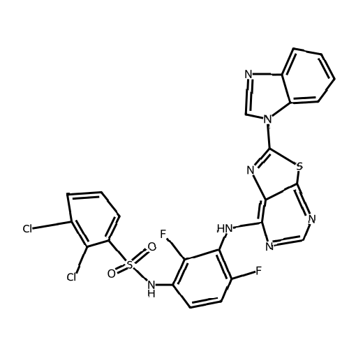 O=S(=O)(Nc1ccc(F)c(Nc2ncnc3sc(-n4cnc5ccccc54)nc23)c1F)c1cccc(Cl)c1Cl